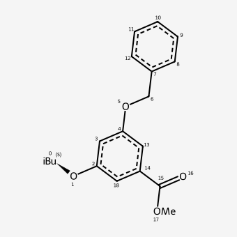 CC[C@H](C)Oc1cc(OCc2ccccc2)cc(C(=O)OC)c1